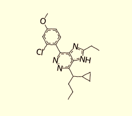 CCCC(c1nnc(-c2ccc(OC)cc2Cl)c2nc(CC)[nH]c12)C1CC1